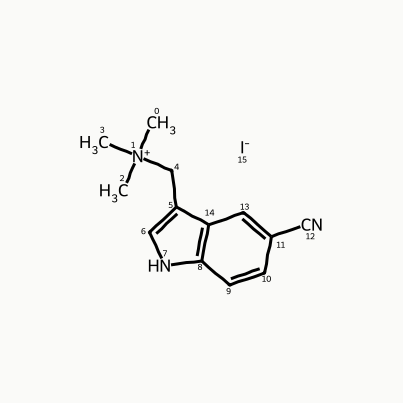 C[N+](C)(C)Cc1c[nH]c2ccc(C#N)cc12.[I-]